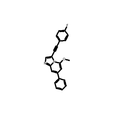 COc1cc(-c2ccccc2)cc2ncc(C#Cc3ccc(F)cc3)n12